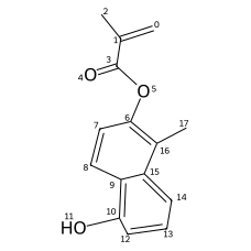 C=C(C)C(=O)Oc1ccc2c(O)cccc2c1C